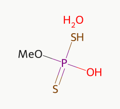 COP(O)(=S)S.O